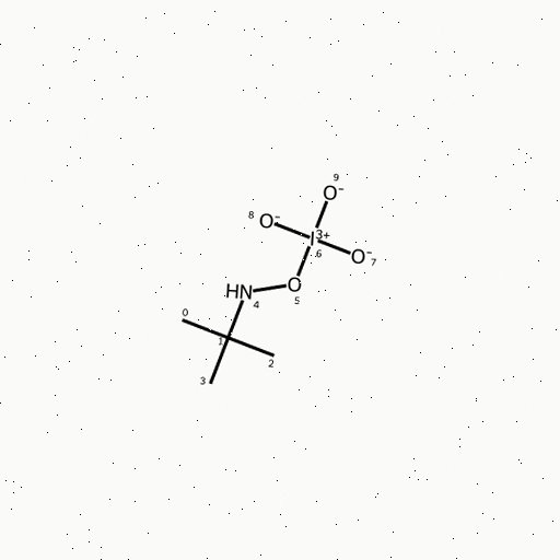 CC(C)(C)NO[I+3]([O-])([O-])[O-]